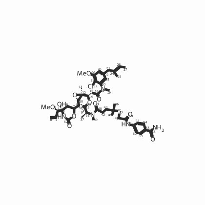 C=C[C@@H](OC)[C@@]1(O)CC([C@@H](C)[C@@H]2O[C@@]2(C)[C@H](CC(=O)N(C)c2cc(C/C(C)=C/C)cc(OC)c2Cl)OC(=O)[C@H](C)N(C)C(=O)CCC(C)(C)SCC(=O)Nc2ccc(C(N)=O)cc2)OC(=O)N1